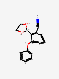 N#Cc1cccc(Oc2ccccc2)c1B1OCCO1